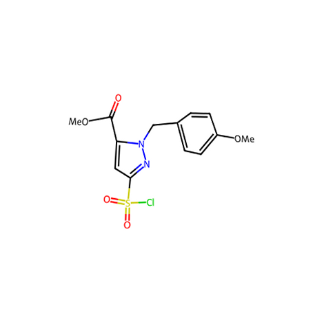 COC(=O)c1cc(S(=O)(=O)Cl)nn1Cc1ccc(OC)cc1